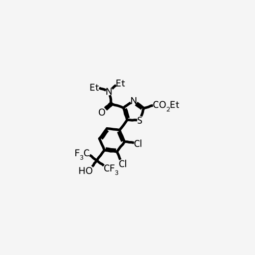 CCOC(=O)c1nc(C(=O)N(CC)CC)c(-c2ccc(C(O)(C(F)(F)F)C(F)(F)F)c(Cl)c2Cl)s1